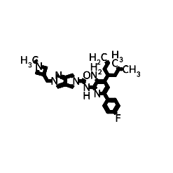 C=CCC(CC(C)C)c1cc(-c2ccc(F)cc2)nc(NC(=O)N2Cc3cn(CC4CN(C)C4)nc3C2)c1N